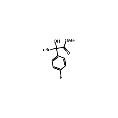 CCCCC(O)(C(=O)OC)c1ccc(F)cc1